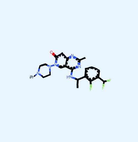 Cc1nc(NC(C)c2cccc(C(F)F)c2F)c2cn(N3CCN(C(C)C)CC3)c(=O)cc2n1